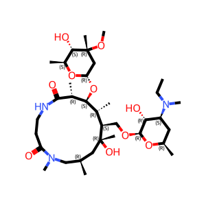 CCN(C)[C@H]1C[C@@H](C)O[C@@H](OC[C@@H]2[C@@H](C)[C@H](O[C@H]3C[C@@](C)(OC)[C@@H](O)[C@H](C)O3)[C@@H](C)C(=O)NCCC(=O)N(C)C[C@H](C)C[C@@]2(C)O)[C@@H]1O